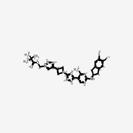 Cc1nc(NC2Cc3cc(F)c(F)cc3C2)ncc1-c1nnc(N2CC(c3cn(COC(=O)C(C)(C)C)nn3)C2)o1